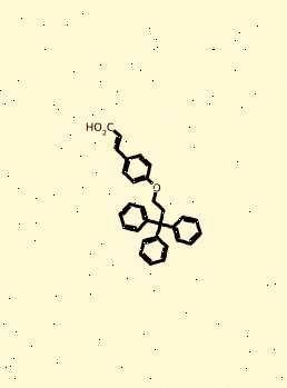 O=C(O)C=Cc1ccc(OCCC(c2ccccc2)(c2ccccc2)c2ccccc2)cc1